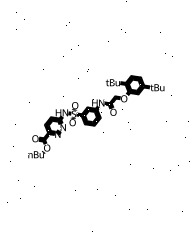 CCCCOC(=O)c1ccc(NS(=O)(=O)c2cccc(NC(=O)COc3cc(C(C)(C)C)ccc3C(C)(C)C)c2)nn1